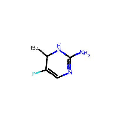 CC(C)(C)C1NC(N)=NC=C1F